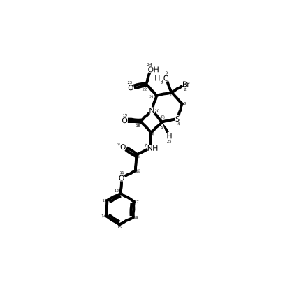 CC1(Br)CS[C@@H]2C(NC(=O)COc3ccccc3)C(=O)N2C1C(=O)O